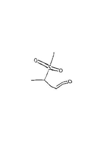 CC(C=O)S(C)(=O)=O